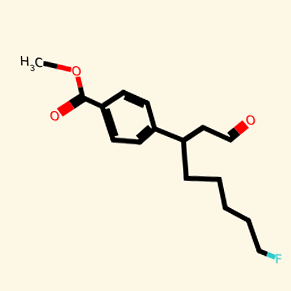 COC(=O)c1ccc(C(CC=O)CCCCCF)cc1